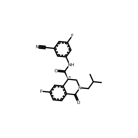 CC(C)CN1C[C@H](C(=O)Nc2cc(F)cc(C#N)c2)c2cc(F)ccc2C1=O